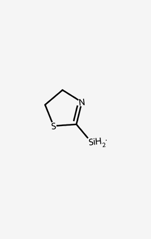 [SiH2]C1=NCCS1